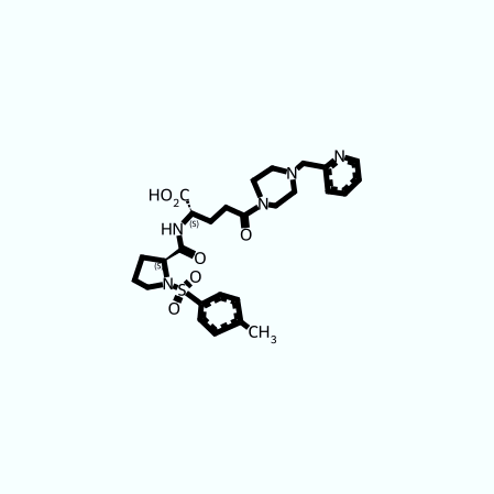 Cc1ccc(S(=O)(=O)N2CCC[C@H]2C(=O)N[C@@H](CCC(=O)N2CCN(Cc3ccccn3)CC2)C(=O)O)cc1